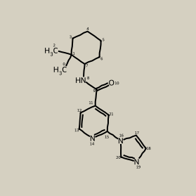 CC1(C)CCCCC1NC(=O)c1ccnc(-n2ccnc2)c1